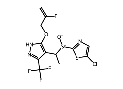 C=C(F)COc1[nH]nc(C(F)(F)F)c1C(C)[S+]([O-])c1ncc(Cl)s1